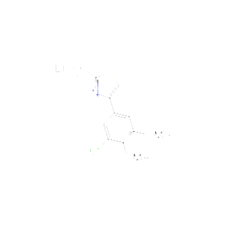 CCOC(=O)c1nc(-c2cc(Cl)c(OC)c(OC)c2)cs1